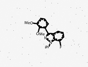 COc1cccc(-c2nn(C(C)C)c3c(F)cccc23)c1OC